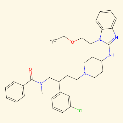 CN(CC(CCN1CCC(Nc2nc3ccccc3n2CCOCC(F)(F)F)CC1)c1cccc(Cl)c1)C(=O)c1ccccc1